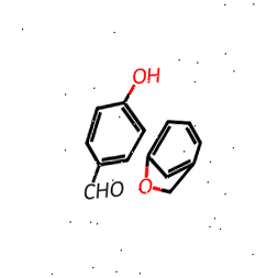 O=Cc1ccc(O)cc1.c1cc2cc(c1)OC2